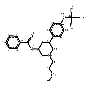 COCCN1CC(NC(=O)c2ccccc2)CC(c2ccc(OC(F)(F)F)cc2)C1